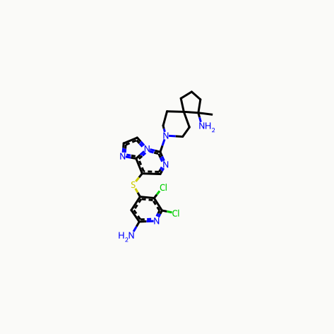 CC1(N)CCCC12CCN(c1ncc(Sc3cc(N)nc(Cl)c3Cl)c3nccn13)CC2